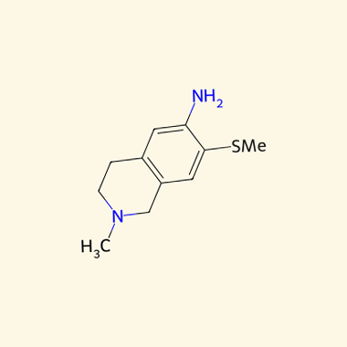 CSc1cc2c(cc1N)CCN(C)C2